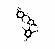 O=c1cc(Nc2cc([N+](=O)[O-])ccc2Cl)[nH]n1-c1c(Cl)cc(Cl)cc1Cl